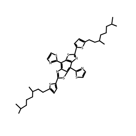 CC(C)CCCC(C)CCc1ccc(-c2nc3c(-c4nccs4)c4sc(-c5ccc(CCC(C)CCCC(C)C)s5)nc4c(-c4nccs4)c3s2)s1